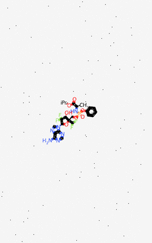 CC(C)OC(=O)[C@H](C)NP(=O)(OC[C@@]1(C(F)F)O[C@@H](n2cnc3c(N)ncnc32)C(F)(F)[C@@H]1O)Oc1ccccc1